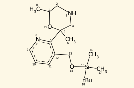 CC1CNCC(C)(c2ncccc2CO[Si](C)(C)C(C)(C)C)O1